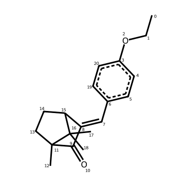 CCOc1ccc(C=C2C(=O)C3(C)CCC2C3(C)C)cc1